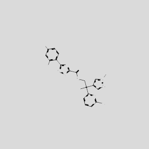 Cn1cc(C(C)(CNC(=O)c2nnc(-c3ccc(F)cc3F)s2)c2cccc(Br)n2)cn1